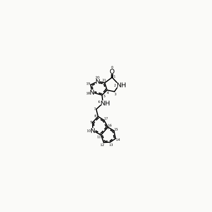 O=C1NCc2c(NCc3cnc4ccccc4c3)ncnc21